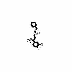 CP(C)(=O)C(CCNOCc1ccccc1)c1ccc(Cl)c(Cl)c1